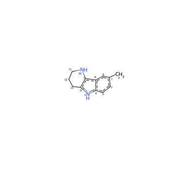 Cc1ccc2[nH]c3c(c2c1)NCCC3